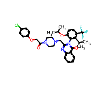 CC(C)Oc1ccc(C(F)(F)F)c(C(C)C)c1-n1c(CN2CCN(C(=O)COc3ccc(Cl)cc3)CC2)nc2ccccc2c1=O